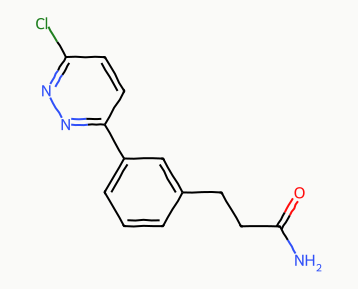 NC(=O)CCc1cccc(-c2ccc(Cl)nn2)c1